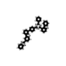 c1ccc(-c2nc(-c3ccc(-c4cccc5c4sc4ccc(-c6nc7ccccc7s6)cc45)cc3)nc(-c3cccc4sc5ccccc5c34)n2)cc1